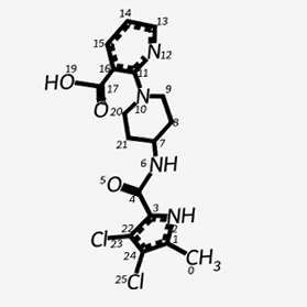 Cc1[nH]c(C(=O)NC2CCN(c3ncccc3C(=O)O)CC2)c(Cl)c1Cl